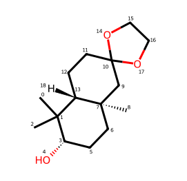 CC1(C)[C@@H](O)CC[C@]2(C)CC3(CC[C@@H]12)OCCO3